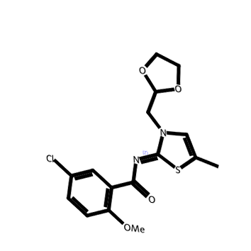 COc1ccc(Cl)cc1C(=O)/N=c1\sc(C)cn1CC1OCCO1